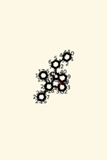 c1ccc(-c2cccc(-c3sc(-c4c(-c5ccccc5)cc(-c5ccccc5)cc4-c4ccccc4)c4ccccc34)c2)cc1